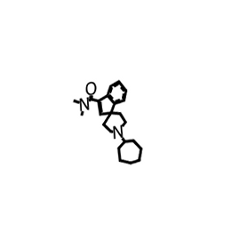 CN(C)C(=O)C1=CC2(CCN(C3CCCCCC3)CC2)c2ccccc21